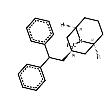 CN1[C@@H]2CCC[C@H]1C[C@@H](CC(c1ccccc1)c1ccccc1)C2